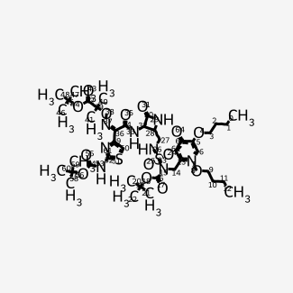 CCCCOc1cn(OCCCC)c(CN(C(=O)OC(C)(C)C)S(=O)(=O)NCC2NC(=O)C2NC(=O)/C(=N\OC(C)(C)C(=O)OC(C)(C)C)c2csc(NC(=O)OC(C)(C)C)n2)cc1=O